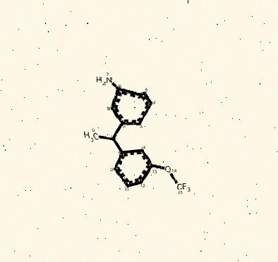 CC(c1cccc(N)c1)c1cccc(OC(F)(F)F)c1